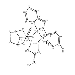 COc1nc(C(F)(F)F)c(C(=O)N2C3CCC2CN(Cc2c(-c4ccc(Cl)cc4)nc4ncccn24)C3)s1